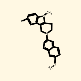 COc1ccc2cc(N3CCc4c(c5cc(F)ccc5n4C)C3)ccc2c1